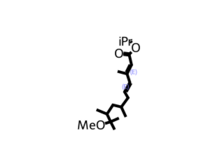 COC(C)(C)C(C)CC(C)C/C=C/C(C)=C/C(=O)OC(C)C